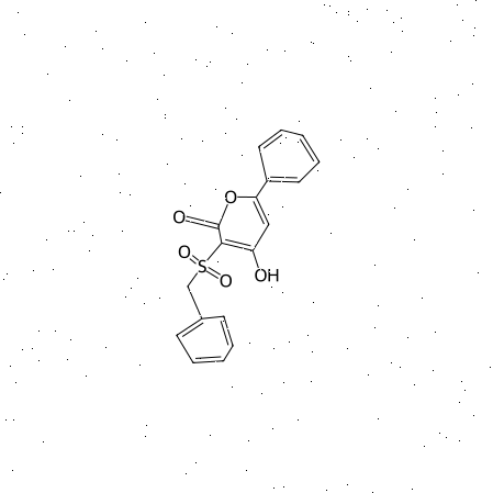 O=c1oc(-c2ccccc2)cc(O)c1S(=O)(=O)Cc1ccccc1